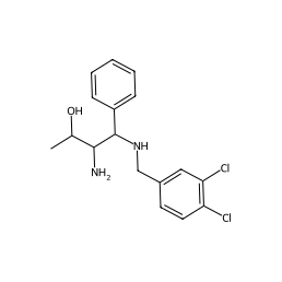 CC(O)C(N)C(NCc1ccc(Cl)c(Cl)c1)c1ccccc1